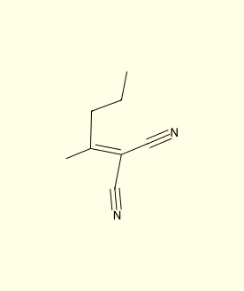 CCCC(C)=C(C#N)C#N